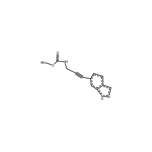 CC(C)(C)OC(=O)NCC#Cc1ccc2cn[nH]c2c1